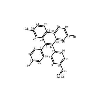 Cc1ccc(-c2c(-c3ccc(C=O)cc3)c3cc(C)ccc3c3ccc(C)cc23)cc1